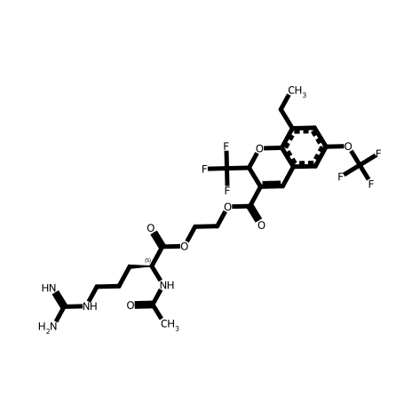 CCc1cc(OC(F)(F)F)cc2c1OC(C(F)(F)F)C(C(=O)OCCOC(=O)[C@H](CCCNC(=N)N)NC(C)=O)=C2